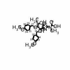 C=C[C@H]1O[C@@H]2SC(N(C)C(=O)O)=N[C@@H]2[C@@H](OCc2ccc(OC)cc2)[C@@H]1OCc1ccc(OC)cc1